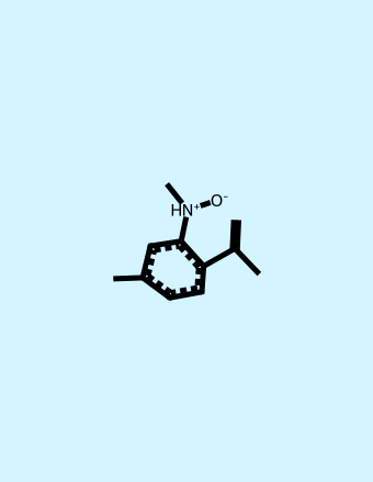 C=C(C)c1ccc(C)cc1[NH+](C)[O-]